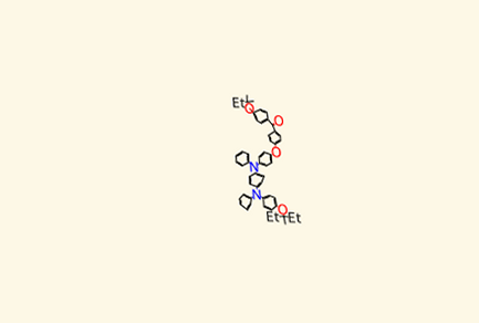 CCC(C)(C)Oc1ccc(C(=O)c2ccc(Oc3ccc(N(c4ccccc4)c4ccc(N(c5ccccc5)c5ccc(OC(C)(CC)CC)cc5)cc4)cc3)cc2)cc1